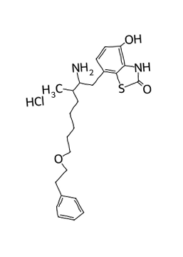 CC(CCCCCOCCc1ccccc1)C(N)Cc1ccc(O)c2[nH]c(=O)sc12.Cl